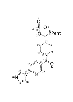 CCCCCC(OS(C)(=O)=O)C1CCN(C(=O)c2ccc(-n3ccnc3)cc2)CC1